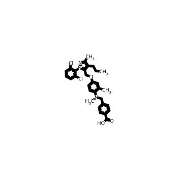 CCCc1c(C)nn(-c2c(Cl)cccc2Cl)c1COc1ccc(N(C)Cc2ccc(C(=O)O)cc2)c(C)c1